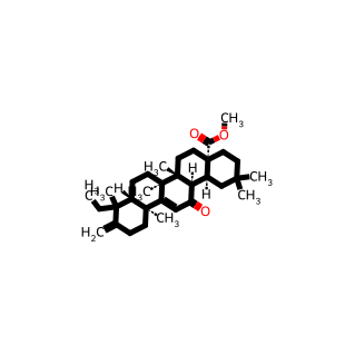 C=C1CC[C@]2(C)C3=CC(=O)[C@@H]4[C@@H]5CC(C)(C)CC[C@]5(C(=O)OC)CC[C@@]4(C)[C@]3(C)CC[C@H]2C1(C)CC